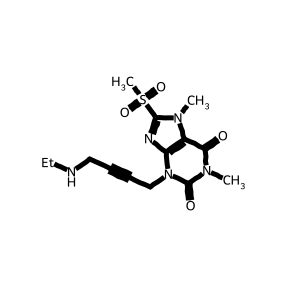 CCNCC#CCn1c(=O)n(C)c(=O)c2c1nc(S(C)(=O)=O)n2C